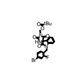 CC(C)(C)C(=O)OCN1C(=O)NC2(C1=O)C(=O)N(Cc1ccc(Br)cc1F)c1ccccc12